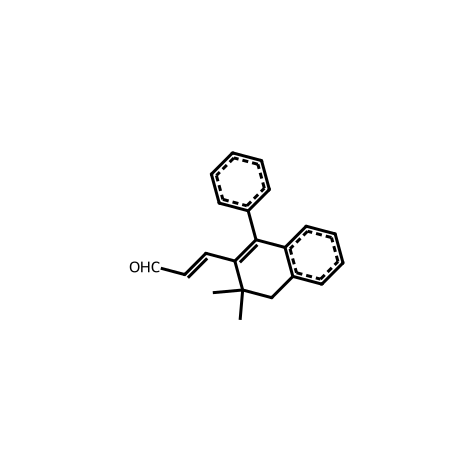 CC1(C)Cc2ccccc2C(c2ccccc2)=C1C=CC=O